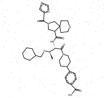 C[C@@H](OCC1CCCCC1)[C@H](NC(=O)C1CN(C(=O)c2cncs2)CC12CCOCC2)C(=O)N1CCC(c2ccc(C(=O)O)cc2)CC1